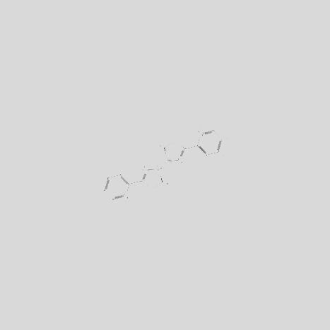 c1ccc(C2=N[C@@H]([C@H]3COC(c4ccccn4)=N3)CO2)nc1